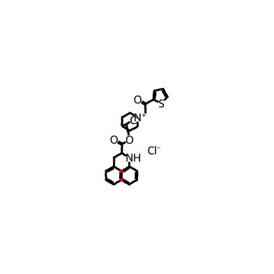 O=C(C[N+]12CCC(CC1)C(OC(=O)C(Cc1ccccc1)Nc1ccccc1)C2)c1cccs1.[Cl-]